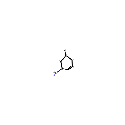 CC1CC=CC(N)C1